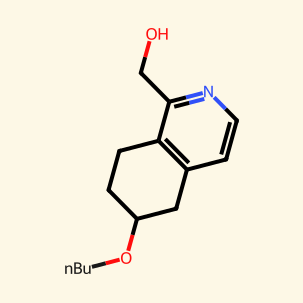 CCCCOC1CCc2c(ccnc2CO)C1